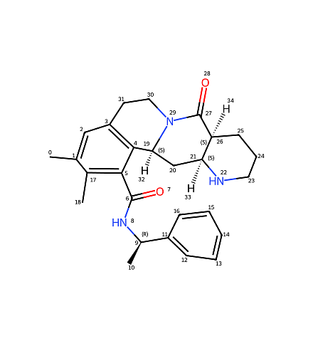 Cc1cc2c(c(C(=O)N[C@H](C)c3ccccc3)c1C)[C@@H]1C[C@@H]3NCCC[C@@H]3C(=O)N1CC2